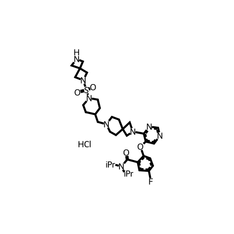 CC(C)N(C(=O)c1cc(F)ccc1Oc1cncnc1N1CC2(CCN(CC3CCN(S(=O)(=O)N4CC5(CNC5)C4)CC3)CC2)C1)C(C)C.Cl